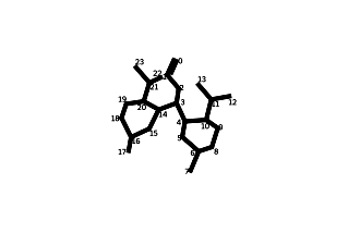 C=CC[C](C1CC(C)CCC1C(C)C)C1CC(C)CCC1C(C)C